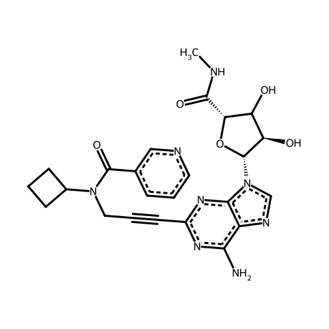 CNC(=O)[C@H]1O[C@@H](n2cnc3c(N)nc(C#CCN(C(=O)c4cccnc4)C4CCC4)nc32)[C@H](O)C1O